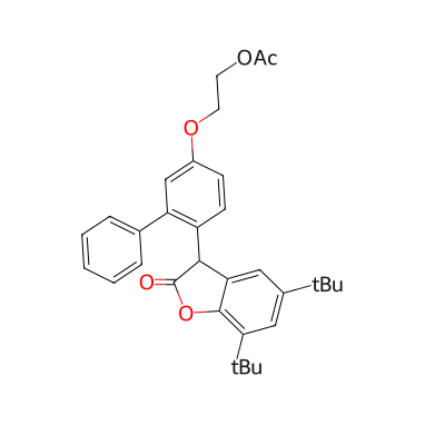 CC(=O)OCCOc1ccc(C2C(=O)Oc3c2cc(C(C)(C)C)cc3C(C)(C)C)c(-c2ccccc2)c1